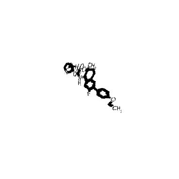 CCOc1ccc(-c2cc3c(cc2F)[C@H](NC(=O)O[C@@H]2CN4CCC2CC4)C(C)(C)CC3)cc1